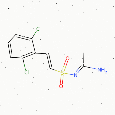 C/C(N)=N\S(=O)(=O)/C=C/c1c(Cl)cccc1Cl